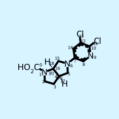 O=C(O)N1CC[C@@H]2CN(c3cnc(Cl)c(Cl)c3)C[C@@H]21